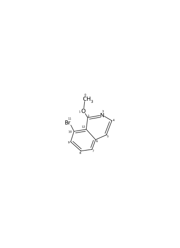 COc1nccc2cccc(Br)c12